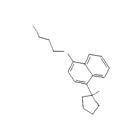 CCCCOc1ccc(C2(S)CCCC2)c2ccccc12